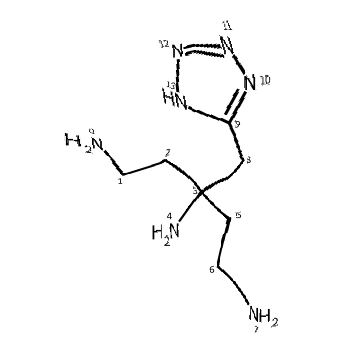 NCCC(N)(CCN)Cc1nnn[nH]1